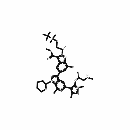 CNC[C@H](C)Oc1c(-c2cc3c(-c4cc(F)c5nn([C@@H](C)CO[Si](C)(C)C(C)(C)C)c(C(=O)OC)c5c4)nn(C4CCCCO4)c3c(C)n2)c(C)nn1C